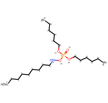 CCCCCCCCCCCCCCCCCCNOP(=O)(OCCCCCC(C)C)OCCCCCC(C)C